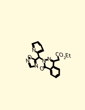 CCOC(=O)Cc1nn(C(c2ccccn2)c2ncno2)c(=O)c2ccccc12